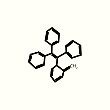 C=C1C=CC=CC1C(=C(c1ccccc1)c1ccccc1)c1ccccc1